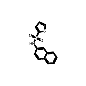 O=S(=O)(Nc1[c]cc2ccccc2c1)c1cccs1